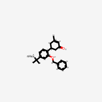 CCCCCCC(C)(C)c1ccc(C2CC(=O)C=C(C)C2)c(OCc2ccccc2)c1